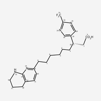 O=C(O)C[C@H](CCCCCCc1ccc2c(n1)NCCC2)c1cnc(C(F)(F)F)nc1